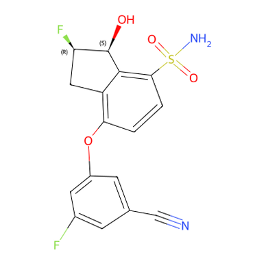 N#Cc1cc(F)cc(Oc2ccc(S(N)(=O)=O)c3c2C[C@@H](F)[C@H]3O)c1